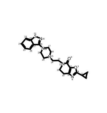 O=C1c2oc(C3CC3)nc2CCN1CCN1CCN(c2nsc3ccccc23)CC1